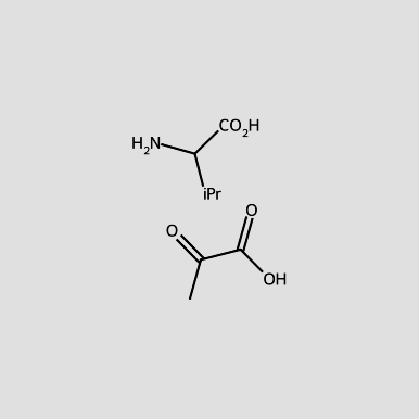 CC(=O)C(=O)O.CC(C)C(N)C(=O)O